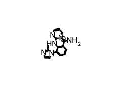 Cc1nccn1-c1cccc(C(N)=O)c1Nc1ncccn1